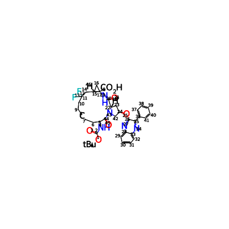 CC(C)(C)OC(=O)N[C@H]1CCCCCC(F)(F)C[C@@H]2C[C@@]2(C(=O)O)NC(=O)[C@@H]2C[C@@H](Oc3nc4ccccc4nc3-c3ccccc3)CN2C1=O